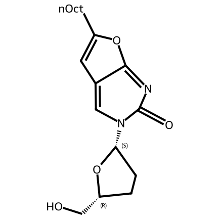 CCCCCCCCc1cc2cn([C@@H]3CC[C@H](CO)O3)c(=O)nc2o1